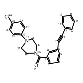 O=C(c1cccc(C#Cc2ccccc2)c1)N1CCN(c2ccc(Cl)cc2)CC1